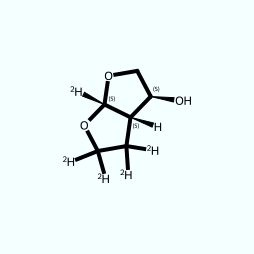 [2H]C1([2H])O[C@]2([2H])OC[C@@H](O)[C@@H]2C1([2H])[2H]